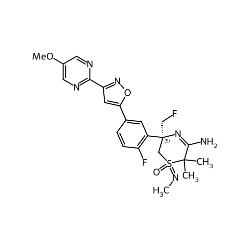 CN=S1(=O)C[C@@](CF)(c2cc(-c3cc(-c4ncc(OC)cn4)no3)ccc2F)N=C(N)C1(C)C